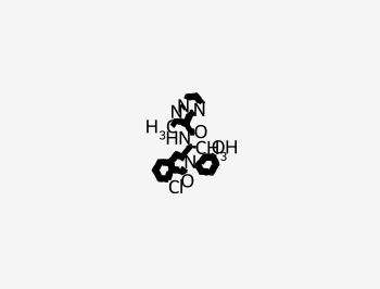 Cc1nn2cccnc2c1C(=O)N[C@@H](C)c1cc2cccc(Cl)c2c(=O)n1-c1cccc(O)c1